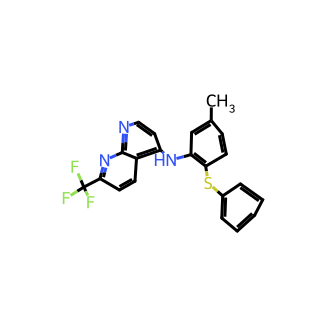 Cc1ccc(Sc2ccccc2)c(Nc2ccnc3nc(C(F)(F)F)ccc23)c1